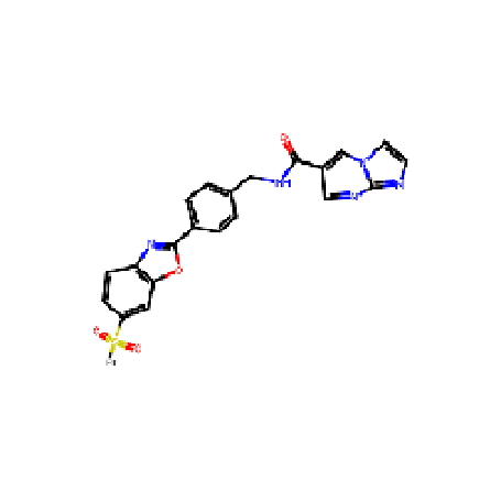 CCS(=O)(=O)c1ccc2nc(-c3ccc(CNC(=O)c4cnc5nccn5c4)cc3)oc2c1